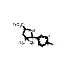 CCOC(=O)C1CC(C)(C#N)C(c2ccc(F)cc2)N1